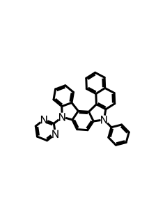 c1ccc(-n2c3ccc4ccccc4c3c3c4c5ccccc5n(-c5ncccn5)c4ccc32)cc1